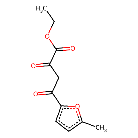 CCOC(=O)C(=O)CC(=O)c1ccc(C)o1